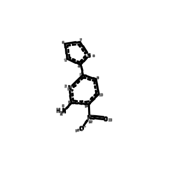 Nc1nc(-c2cccs2)ccc1[N+](=O)[O-]